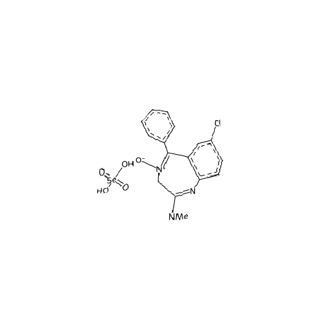 CNC1=Nc2ccc(Cl)cc2C(c2ccccc2)=[N+]([O-])C1.O=[Se](=O)(O)O